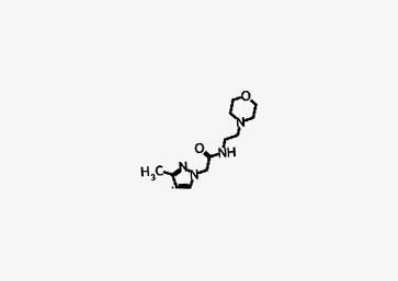 Cc1[c]cn(CC(=O)NCCN2CCOCC2)n1